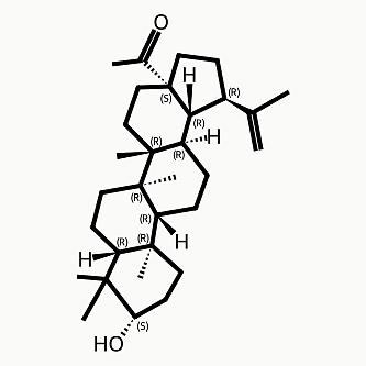 C=C(C)[C@@H]1CC[C@]2(C(C)=O)CC[C@]3(C)[C@H](CC[C@@H]4[C@@]5(C)CC[C@H](O)C(C)(C)[C@@H]5CC[C@]43C)[C@@H]12